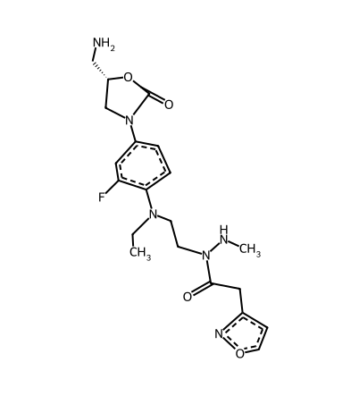 CCN(CCN(NC)C(=O)Cc1ccon1)c1ccc(N2C[C@H](CN)OC2=O)cc1F